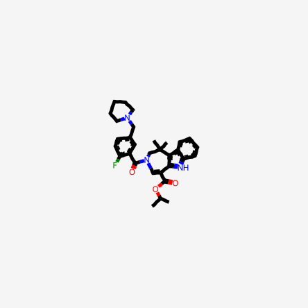 CC(C)OC(=O)C1=CN(C(=O)c2cc(CN3CCCCC3)ccc2F)CC(C)(C)c2c1[nH]c1ccccc21